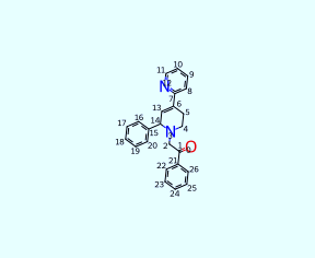 O=C(CN1CCC(c2ccccn2)=CC1c1ccccc1)c1ccccc1